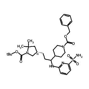 CC(C)(C)OC(=O)N1C[C@@H](CCC(Nc2cccc(S(N)(=O)=O)n2)C2CCN(C(=O)OCc3ccccc3)CC2)CC1(C)C